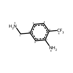 NCc1ccc(C(F)(F)F)c(N)c1